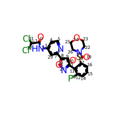 O=C(Nc1ccnc(-c2cc(-c3c(F)cccc3S(=O)(=O)N3CCOCC3)no2)c1)C(Cl)Cl